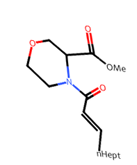 CCCCCCCC=CC(=O)N1CCOCC1C(=O)OC